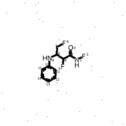 O=C(NF)C(F)C(CF)Nc1ccccc1